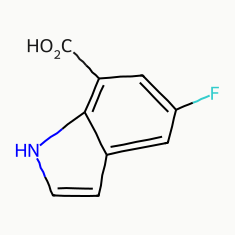 O=C(O)c1cc(F)cc2cc[nH]c12